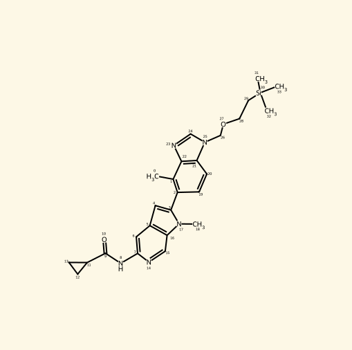 Cc1c(-c2cc3cc(NC(=O)C4CC4)ncc3n2C)ccc2c1ncn2COCC[Si](C)(C)C